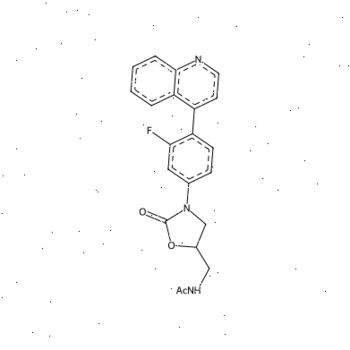 CC(=O)NCC1CN(c2ccc(-c3ccnc4ccccc34)c(F)c2)C(=O)O1